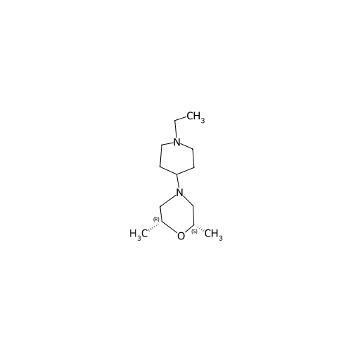 CCN1CCC(N2C[C@@H](C)O[C@@H](C)C2)CC1